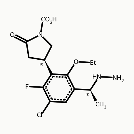 CCOc1c([C@H](C)NN)cc(Cl)c(F)c1[C@H]1CC(=O)N(C(=O)O)C1